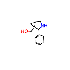 OC[C@@]12CC1CN[C@H]2c1ccccc1